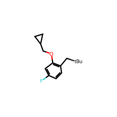 CC(C)(C)Cc1ccc(F)cc1OCC1CC1